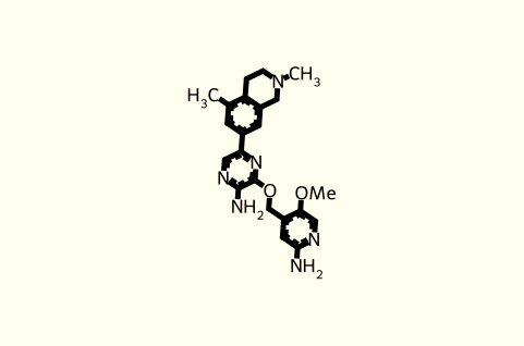 COc1cnc(N)cc1COc1nc(-c2cc(C)c3c(c2)CN(C)CC3)cnc1N